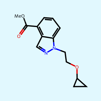 COC(=O)c1cccc2c1cnn2CCOC1CC1